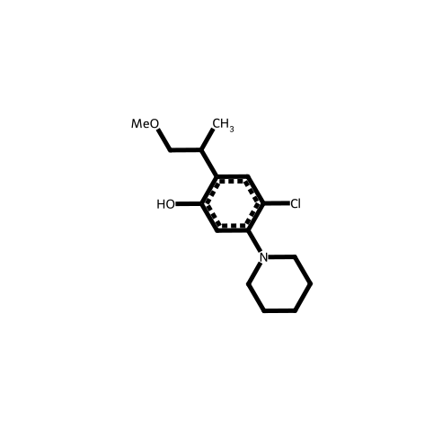 COCC(C)c1cc(Cl)c(N2CCCCC2)cc1O